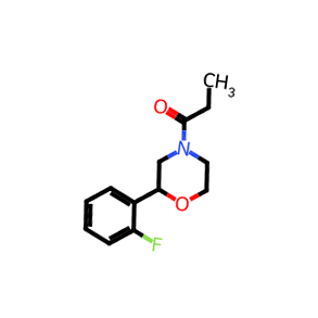 CCC(=O)N1CCOC(c2ccccc2F)C1